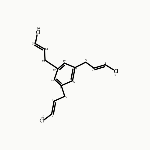 ClC=CCc1cc(CC=CCl)cc(CC=CCl)c1